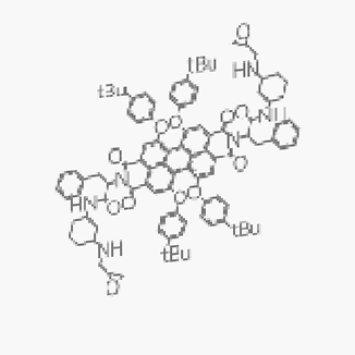 CC(C)(C)c1ccc(Oc2cc3c4c(cc(Oc5ccc(C(C)(C)C)cc5)c5c6c(Oc7ccc(C(C)(C)C)cc7)cc7c8c(cc(Oc9ccc(C(C)(C)C)cc9)c(c2c45)c86)C(=O)N(C(Cc2ccccc2)C(=O)NC2CCCC(NCC4CO4)C2)C7=O)C(=O)N(C(Cc2ccccc2)C(=O)NC2CCCC(NCC4CO4)C2)C3=O)cc1